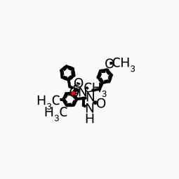 COc1ccc(CCN2C(=O)NCC2(c2ccc(C)c(C)c2)N(C)S(=O)(=O)Cc2ccccc2)cc1